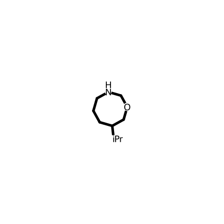 CC(C)C1CCCNCOC1